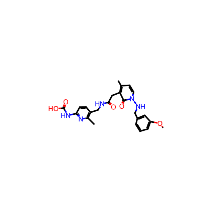 COc1cccc(CNn2ccc(C)c(CC(=O)NCc3ccc(NC(=O)O)nc3C)c2=O)c1